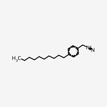 CCCCCCCCCCc1ccc(C[N+]#N)cc1